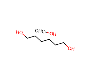 O=CO.OCCCCCCO